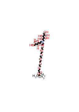 CC(C)(C)OC(=O)CCOCCOCCOCCOCCOCCOCCN(C[C@H](O)[C@@H](O)[C@H](O)[C@H](O)CO)C[C@H](O)[C@@H](O)[C@H](O)[C@H](O)CO